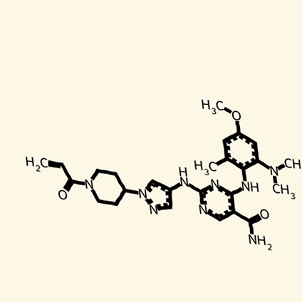 C=CC(=O)N1CCC(n2cc(Nc3ncc(C(N)=O)c(Nc4c(C)cc(OC)cc4N(C)C)n3)cn2)CC1